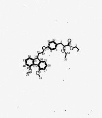 CCOC(=O)C(Cc1ccc(OCCC2c3cccc(OC)c3-c3c(OC)cccc32)cc1)OCC